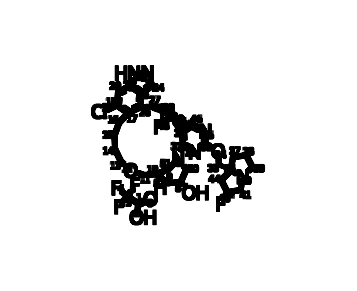 O=C(O)C(F)(F)F.O[C@H]1C[C@@H]2COCCCCc3c(Cl)cc4[nH]ncc4c3-c3ncc4c(nc(OC[C@@]56CCCN5C[C@H](F)C6)nc4c3F)N(C1)C2